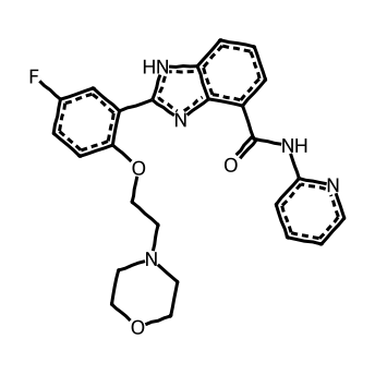 O=C(Nc1ccccn1)c1cccc2[nH]c(-c3cc(F)ccc3OCCN3CCOCC3)nc12